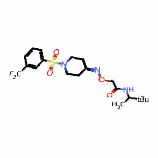 CC(NC(=O)CON=C1CCN(S(=O)(=O)c2cccc(C(F)(F)F)c2)CC1)C(C)(C)C